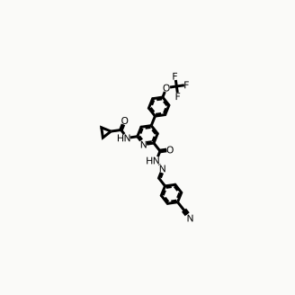 N#Cc1ccc(/C=N/NC(=O)c2cc(-c3ccc(OC(F)(F)F)cc3)cc(NC(=O)C3CC3)n2)cc1